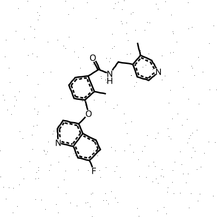 Cc1cnccc1CNC(=O)c1cccc(Oc2ccnc3cc(F)ccc23)c1C